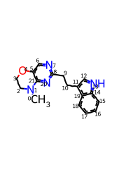 CN1CCOc2cnc(CCc3c[nH]c4ccccc34)nc21